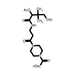 CCCCCCCCCCC(=O)N1CCN(C(=O)CCNC(=O)C(OC(C)=O)C(C)(C)COC(C)=O)CC1